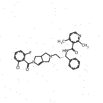 Cc1ccnc(C)c1C(=O)N[C@@H](CCN1CC2=CN(C(=O)c3c(F)cccc3Cl)CC2C1)c1ccccc1